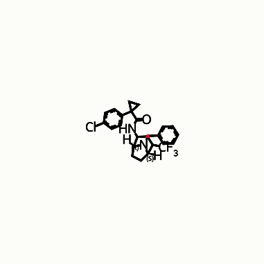 O=C(NC1CC(C(F)(F)F)[C@@H]2CC[C@H]1N2Cc1ccccc1)C1(c2ccc(Cl)cc2)CC1